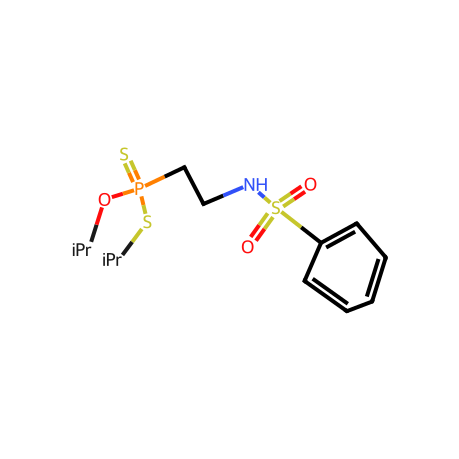 CC(C)OP(=S)(CCNS(=O)(=O)c1ccccc1)SC(C)C